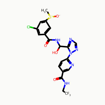 C[S+]([O-])c1cc(Cl)cc(C(=O)NC(O)c2ncnn2-c2ccc(C(=O)NCC(F)(F)F)cn2)c1